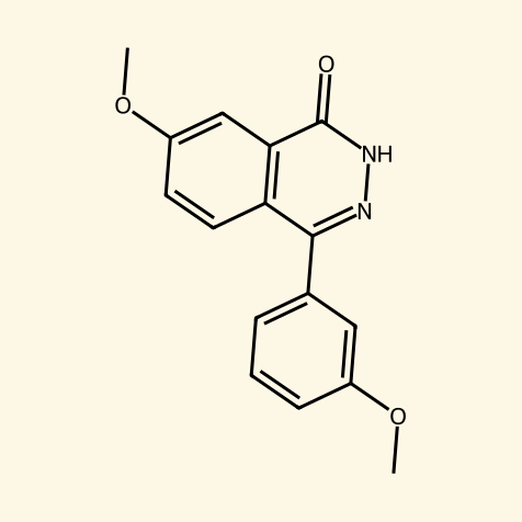 COc1cccc(-c2n[nH]c(=O)c3cc(OC)ccc23)c1